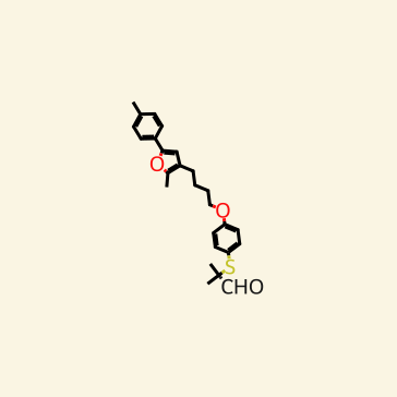 Cc1ccc(-c2cc(CCCCOc3ccc(SC(C)(C)C=O)cc3)c(C)o2)cc1